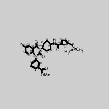 COC(=O)c1cccc(-n2c(=O)n(C3CCC(NC(=O)c4ccc(CN(C)C)o4)CC3)c(=O)c3cc(F)cnc32)c1